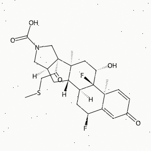 CSCC(=O)[C@@]12CN(C(=O)O)C[C@@H]1C[C@H]1[C@@H]3C[C@H](F)C4=CC(=O)C=C[C@]4(C)[C@@]3(F)[C@@H](O)C[C@@]12C